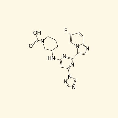 O=C(O)N1CCCC(Nc2cc(-n3cncn3)nc(-c3cnc4ccc(F)cn34)n2)C1